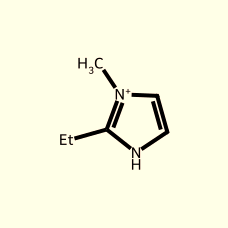 CCc1[nH]cc[n+]1C